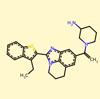 C=C(c1cc2c3c(c1)nc(-c1sc4ccccc4c1CC)n3CCC2)N1CCCC(N)C1